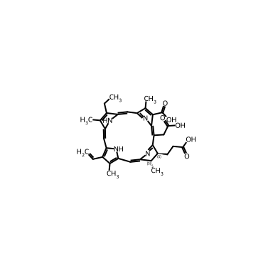 C=Cc1c(C)c2cc3nc(c(CC(=O)O)c4nc(cc5[nH]c(cc1[nH]2)c(C)c5CC)C(C)=C4C(=O)O)[C@@H](CCC(=O)O)[C@@H]3C